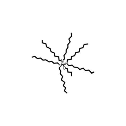 CCCCCCCCCC[N](CCCCCCCCCC)[Ti]([O]CCCC)([N](CCCCCCCCCC)CCCCCCCCCC)[N](CCCCCCCCCC)CCCCCCCCCC